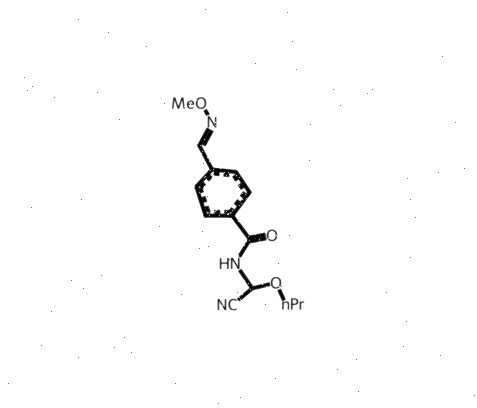 CCCOC(C#N)NC(=O)c1ccc(C=NOC)cc1